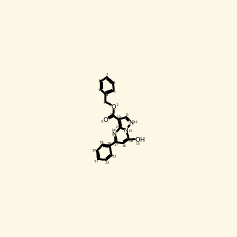 O=C(OCc1ccccc1)c1cnn2c(O)cc(-c3ccccc3)nc12